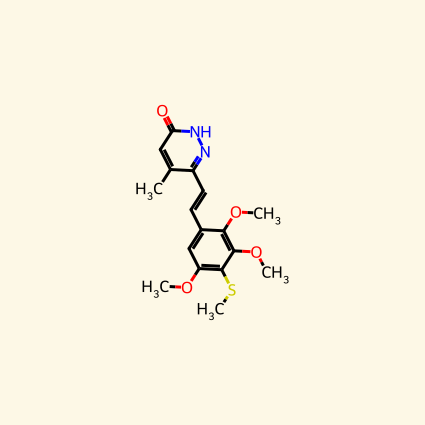 COc1cc(C=Cc2n[nH]c(=O)cc2C)c(OC)c(OC)c1SC